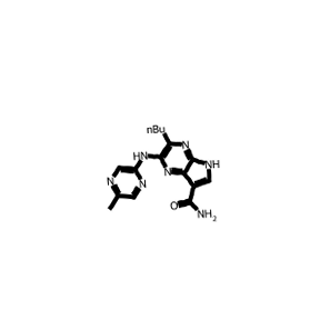 CCCCc1nc2[nH]cc(C(N)=O)c2nc1Nc1cnc(C)cn1